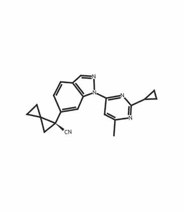 Cc1cc(-n2ncc3ccc([C@]4(C#N)CC45CC5)cc32)nc(C2CC2)n1